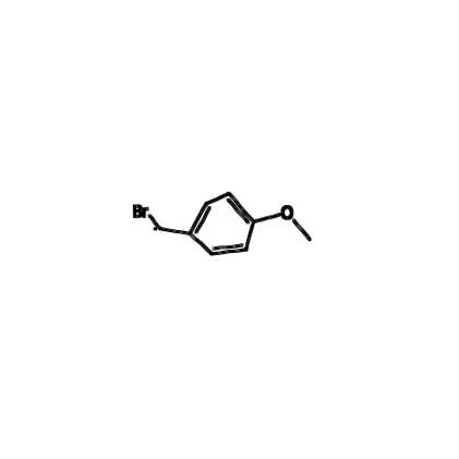 COc1ccc([CH]Br)cc1